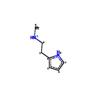 CC(C)NCCc1ccc[nH]1